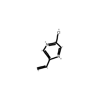 C=Cc1cnc(Cl)cn1